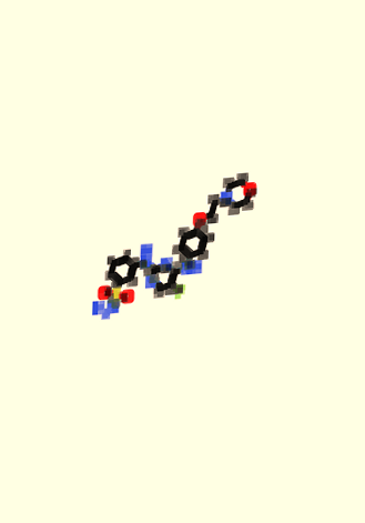 NS(=O)(=O)c1cccc(Nc2ncc(F)c(Nc3ccc(OCCN4CCOCC4)cc3)n2)c1